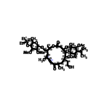 CC[Si](CC)(CC)O[C@@H]1C(C)O[C@@H](OCC2/C=C(C)/C=C/C(=O)[C@H](C)C[C@H](CCO)[C@H](O[C@@H]3OC(C)[C@@H](OC(C)=O)C(N(C)C)C3OC(C)=O)[C@@H](C)[C@H](O)CC(=O)O[C@@H]2I)C(OC)C1OC